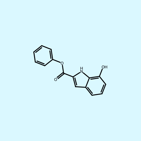 O=C(Oc1ccccc1)c1cc2cccc(O)c2[nH]1